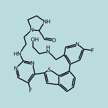 O=CC1NCCN1CCNc1ncc(F)c(-c2cc3cccc(-c4cc(F)ncc4CNCCO)c3s2)n1